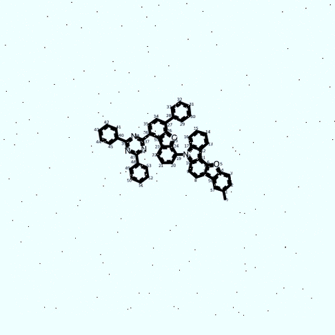 Cc1ccc2oc3c(ccc4c3c3ccccc3n4-c3cccc4c3oc3c(-c5ccccc5)ccc(-c5nc(-c6ccccc6)nc(-c6ccccc6)n5)c34)c2c1